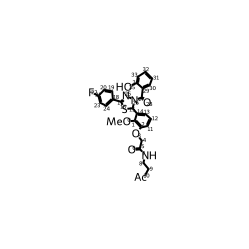 COc1c(OCC(=O)NCCC(C)=O)cccc1C1SC(c2ccc(F)cc2)=NN1C(=O)c1ccccc1O